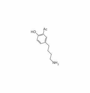 CC(=O)c1cc(CCCCN)ccc1O